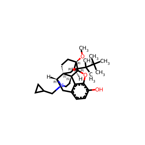 CO[C@]12CC[C@@]3(C[C@@H]1C(C)(C)C(C)(C)C)[C@H]1Cc4ccc(O)c5c4[C@@]3(CCN1CC1CC1)[C@H]2O5